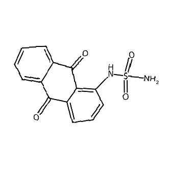 NS(=O)(=O)Nc1cccc2c1C(=O)c1ccccc1C2=O